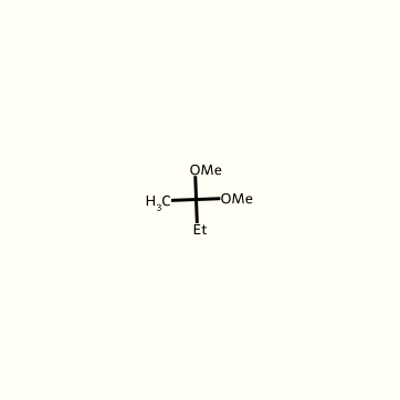 CCC(C)(OC)OC